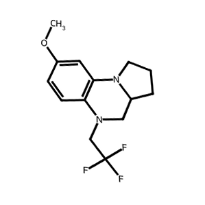 COc1ccc2c(c1)N1CCCC1CN2CC(F)(F)F